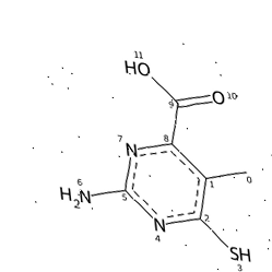 Cc1c(S)nc(N)nc1C(=O)O